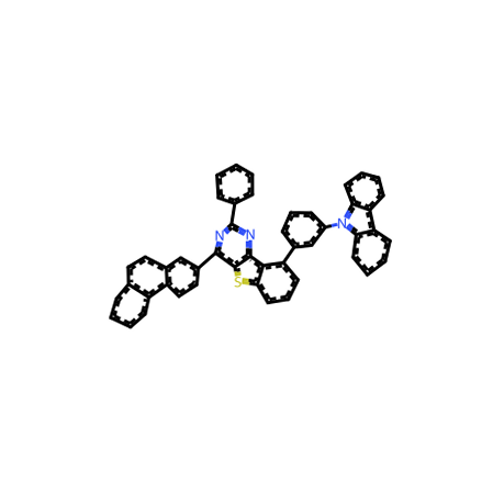 c1ccc(-c2nc(-c3ccc4c(ccc5ccccc54)c3)c3sc4cccc(-c5cccc(-n6c7ccccc7c7ccccc76)c5)c4c3n2)cc1